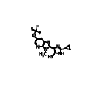 Cn1c(-c2nc(C3CC3)[nH]c2S)nc2cc(OC(F)(F)F)cnc21